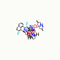 C#Cc1c(F)ccc2cccc(-c3nc4c5c(nc(OCC67CC(=C)CN6CC(=C)C7)nc5c3F)N3C[C@H]5CC[C@@H]([C@H]3[C@H](C)O4)N5C(=O)OC(C)(C)C)c12